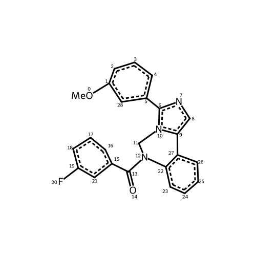 COc1cccc(-c2ncc3n2CN(C(=O)c2cccc(F)c2)c2ccccc2-3)c1